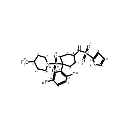 O=S(=O)(NC1CCC(c2cc(F)ccc2F)(S(=O)(=O)N2CCC(C(F)(F)F)CC2)CC1)c1cccs1